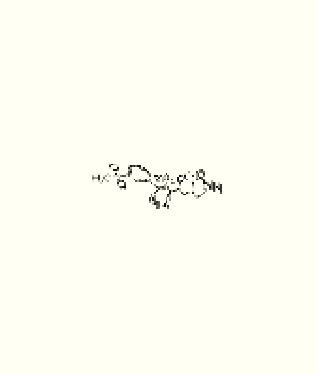 CS(=O)(=O)c1cccc(-c2ncnc(C(CC3CCNCC3)OC=O)c2[N+](=O)[O-])c1